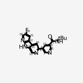 CC(C)(C)NC(=O)c1cncc(-c2cc3c(cn2)[nH]c2ncc(F)cc23)c1